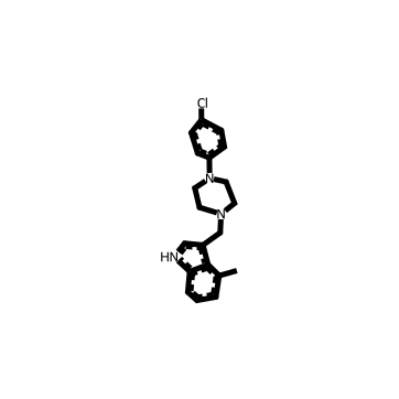 Cc1cccc2[nH]cc(CN3CCN(c4ccc(Cl)cc4)CC3)c12